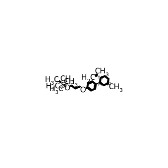 C=C(C)[C@@H]1CC[C@@H](C)C[C@H]1c1ccc(OCCCO[Si](C)(C)C(C)(C)C)cc1